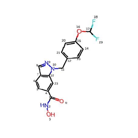 O=C(NO)c1ccc2cnn(Cc3ccc(OC(F)F)cc3)c2c1